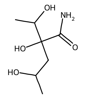 CC(O)CC(O)(C(N)=O)C(C)O